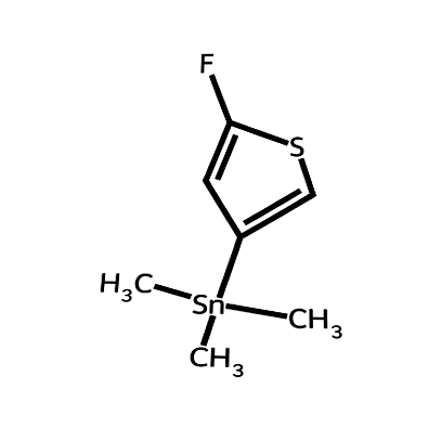 [CH3][Sn]([CH3])([CH3])[c]1csc(F)c1